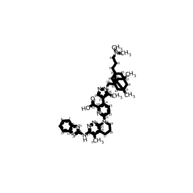 Cc1c(Nc2nc3ccccc3s2)nnc2c1CCCN2c1ccc(-c2cnn(CC34CC5(C)CC(C)(CC(CCCN(C)C)(C5)C3)C4)c2C)c(C(=O)O)n1